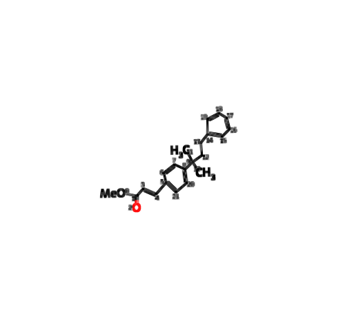 COC(=O)C=Cc1ccc(C(C)(C)CCc2ccccc2)cc1